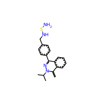 C=C1c2ccccc2C(c2ccc(CNSN)cc2)=NN1C(C)C